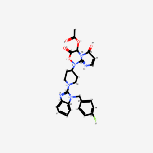 CC(=O)OC1C(=O)ON(C2CCN(c3nc4ccccc4n3Cc3ccc(F)cc3)CC2)c2nccc(=O)n21